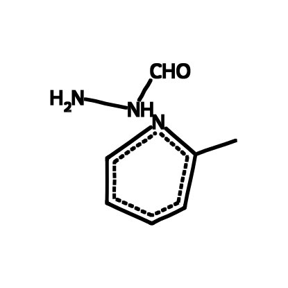 Cc1ccccn1.NNC=O